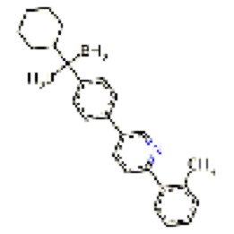 BC(B)(c1ccc(-c2ccc(-c3ccccc3C)nc2)cc1)C1CCCCC1